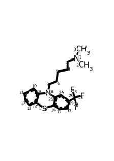 CN(C)CCCCCN1c2ccccc2Sc2ccc(C(F)(F)F)cc21